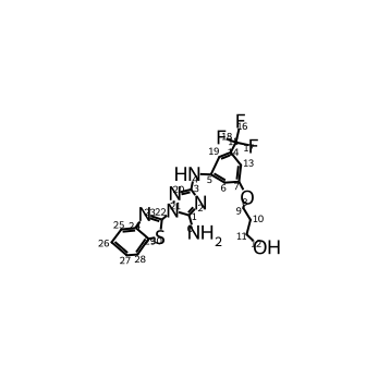 Nc1nc(Nc2cc(OCCCO)cc(C(F)(F)F)c2)nn1-c1nc2ccccc2s1